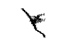 CCCCCCCCCCCCCCCCCC(CCCCCCCCCCCCCCCC)OS(=O)(=O)O.OCCN(CCO)CCO